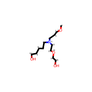 COCCCN(CCCCCO)CCOCCO